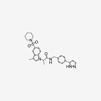 Cc1cn(C(C)C(=O)NCc2ccc(-c3ccn[nH]3)cc2)c2ccc(S(=O)(=O)N3CCCCC3)cc12